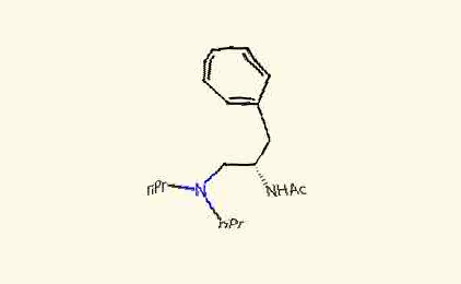 CCCN(CCC)C[C@H](Cc1ccccc1)NC(C)=O